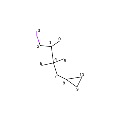 CC(CI)C(C)(C)CC1CC1